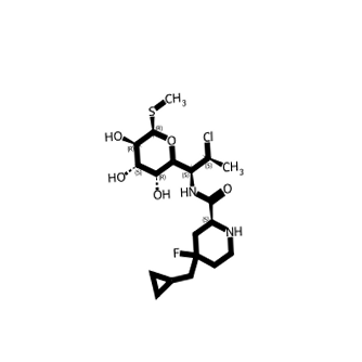 CS[C@H]1OC([C@H](NC(=O)[C@@H]2CC(F)(CC3CC3)CCN2)[C@H](C)Cl)[C@H](O)[C@H](O)[C@H]1O